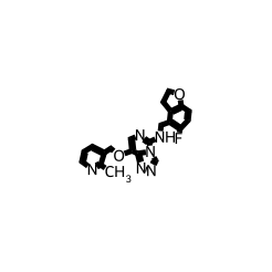 Cc1ncccc1COc1cnc(NCc2c(F)ccc3c2CCO3)n2cnnc12